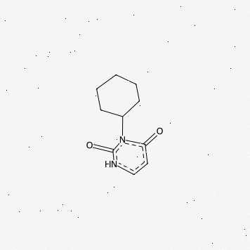 O=c1cc[nH]c(=O)n1C1CCCCC1